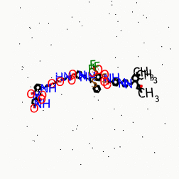 CC1(C)CCC(CN2CCN(c3ccc(C(=O)NS(=O)(=O)c4ccc(N[C@H](CCN5CCC(OC(=O)NCCOCCOCCNc6cccc7c6C(=O)N(C6CCC(=O)NC6=O)C7=O)CC5)CSc5ccccc5)c(S(=O)(=O)C(F)(F)F)c4)cc3)CC2)=C(C23CC(C)(C2)C3)C1